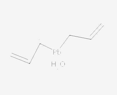 C=C[CH2][Pb][CH2]C=C.O